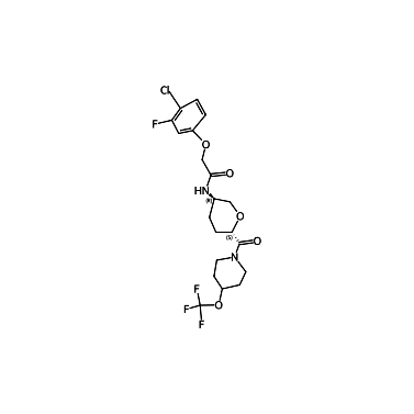 O=C(COc1ccc(Cl)c(F)c1)N[C@@H]1CC[C@@H](C(=O)N2CCC(OC(F)(F)F)CC2)OC1